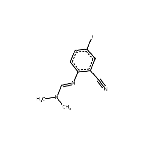 CN(C)C=Nc1ccc(I)cc1C#N